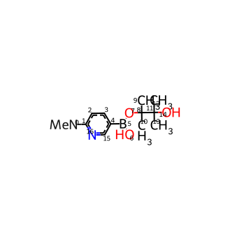 CNc1ccc(B(O)OC(C)(C)C(C)(C)O)cn1